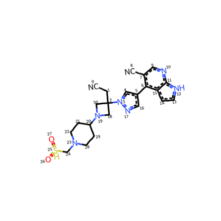 N#CCC1(n2cc(-c3c(C#N)cnc4[nH]ccc34)cn2)CN(C2CCN(C[SH](=O)=O)CC2)C1